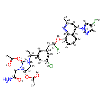 CC(=O)O[C@@H]1N(CC(N)=O)[C@@H](OC(C)=O)CN1[C@@H](C)c1cc(Cl)cc(C[C@H](F)Oc2cccc3c(-n4cc(F)cn4)cc(C)nc23)c1